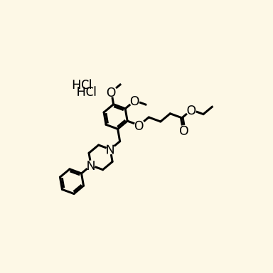 CCOC(=O)CCCOc1c(CN2CCN(c3ccccc3)CC2)ccc(OC)c1OC.Cl.Cl